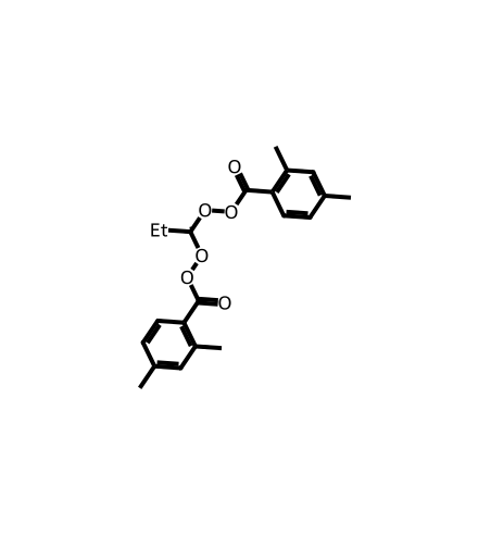 [CH2]C[C](OOC(=O)c1ccc(C)cc1C)OOC(=O)c1ccc(C)cc1C